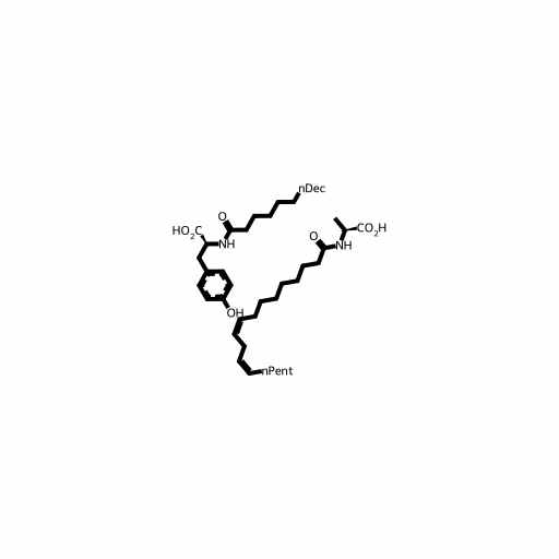 CCCCC/C=C\C/C=C\CCCCCCCC(=O)N[C@@H](C)C(=O)O.CCCCCCCCCCCCCCCC(=O)N[C@@H](Cc1ccc(O)cc1)C(=O)O